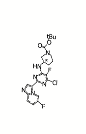 CC(C)(C)OC(=O)N1CCC[C@@H](Nc2nc(-c3cnc4ccc(F)cn34)nc(Cl)c2F)C1